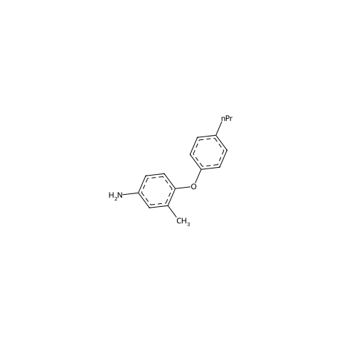 CCCc1ccc(Oc2ccc(N)cc2C)cc1